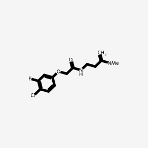 C=C(CCNC(=O)COc1ccc(Cl)c(F)c1)NC